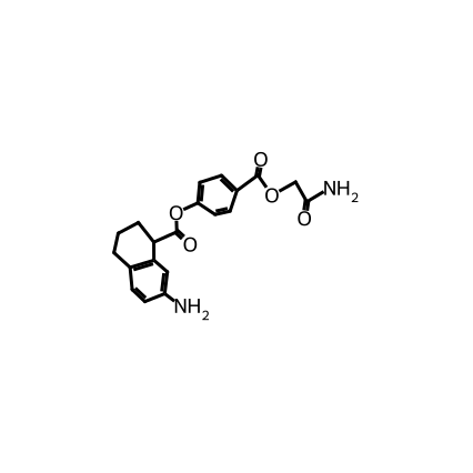 NC(=O)COC(=O)c1ccc(OC(=O)C2CCCc3ccc(N)cc32)cc1